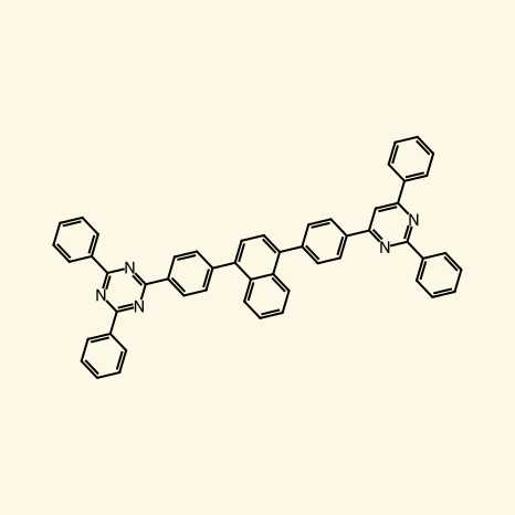 c1ccc(-c2cc(-c3ccc(-c4ccc(-c5ccc(-c6nc(-c7ccccc7)nc(-c7ccccc7)n6)cc5)c5ccccc45)cc3)nc(-c3ccccc3)n2)cc1